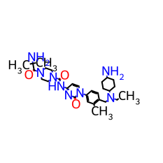 CCN(Cc1ccc(-n2ccc(NC(=O)N3CCN(C(=O)C(C)(C)N)CC3)nc2=O)cc1C)[C@H]1CC[C@H](N)CC1